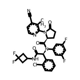 Cc1c(C#N)ccnc1N1C(=O)CC[C@H]1C(=O)N(c1cc(F)cc(F)c1)[C@H](C(=O)NC1CC(F)(F)C1)c1ccccc1Cl